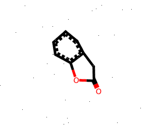 O=C1Cc2ccc[c]c2O1